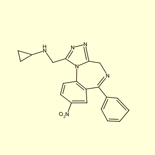 O=[N+]([O-])c1ccc2c(c1)C(c1ccccc1)=NCc1nnc(CNC3CC3)n1-2